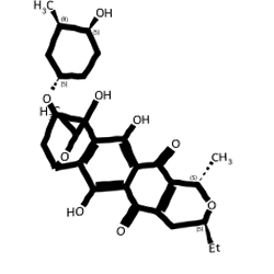 CC[C@H]1CC2=C(C(=O)c3c(O)c4c(c(O)c3C2=O)C2CC(O[C@H]3CC[C@H](O)[C@H](C)C3)C4(O)C(C)O2)[C@H](C)O1